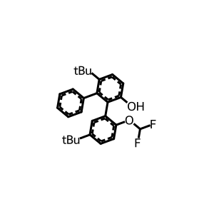 CC(C)(C)c1ccc(OC(F)F)c(-c2c(O)ccc(C(C)(C)C)c2-c2ccccc2)c1